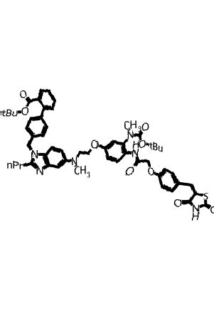 CCCc1nc2cc(N(C)CCOc3ccc(NC(=O)COc4ccc(CC5SC(=O)NC5=O)cc4)c(N(C)C(=O)OC(C)(C)C)c3)ccc2n1Cc1ccc(-c2ccccc2C(=O)OC(C)(C)C)cc1